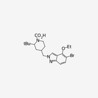 CCOc1c(Br)ccc2nn(CC3CCN(C(=O)O)C(C(C)(C)C)C3)cc12